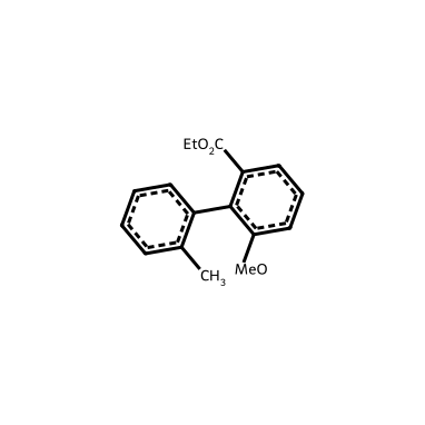 CCOC(=O)c1cccc(OC)c1-c1ccccc1C